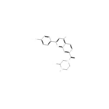 CC1CN(C(=O)c2ccc3c(Cl)cc(-c4ccc([N+](=O)[O-])cc4)nc3c2)CCN1C(=O)O